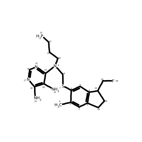 Cc1cc2c(cc1SCN(CCCP)c1ncnc(N)c1N)C(CF)CC2